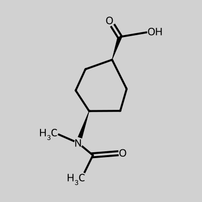 CC(=O)N(C)[C@H]1CC[C@@H](C(=O)O)CC1